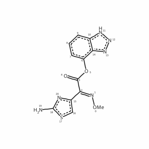 CON=C(C(=O)Oc1cccc2[nH]nnc12)c1csc(N)n1